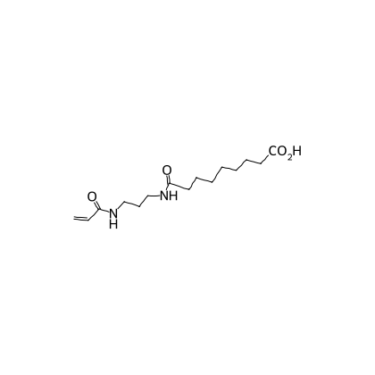 C=CC(=O)NCCCNC(=O)CCCCCCCC(=O)O